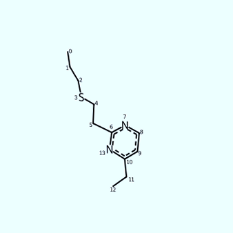 CCCSCCc1nccc(CC)n1